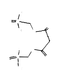 O=C(CC(=O)OCP(=O)(O)O)OCP(=O)(O)O